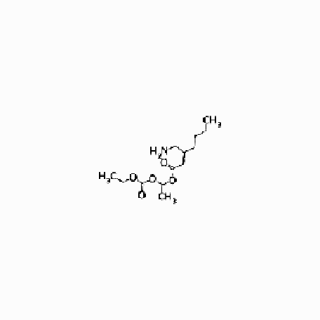 CCCCC(CN)CC(=O)OC(C)OC(=O)OCC